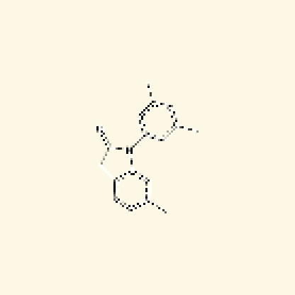 Cc1cc(C)cc(N2C(=O)Cc3ccc(C)cc32)c1